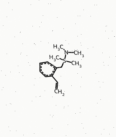 C=Cc1ccccc1CS(C)(C)N(C)C